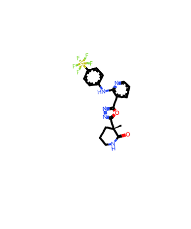 C[C@]1(c2nnc(-c3cccnc3Nc3ccc(S(F)(F)(F)(F)F)cc3)o2)CCCNC1=O